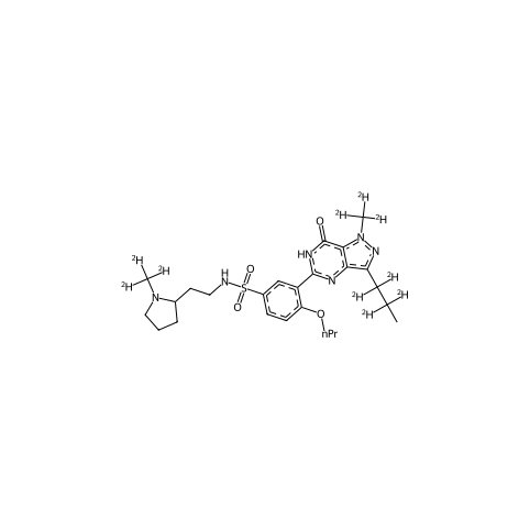 [2H]C([2H])([2H])N1CCCC1CCNS(=O)(=O)c1ccc(OCCC)c(-c2nc3c(C([2H])([2H])C([2H])([2H])C)nn(C([2H])([2H])[2H])c3c(=O)[nH]2)c1